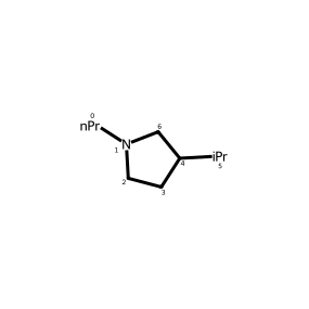 CCCN1CCC(C(C)C)C1